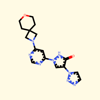 O=c1[nH]n(-c2cc(N3CC4(CCOCC4)C3)ncn2)cc1-n1ccnn1